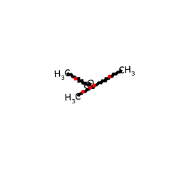 CCCCCCCCC=CCCCCCCC(CCCCCCC)C(=O)OCCCCCCCCCCC